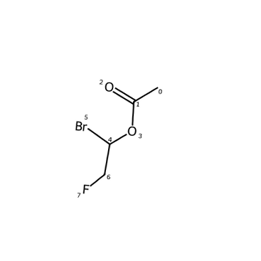 CC(=O)OC(Br)CF